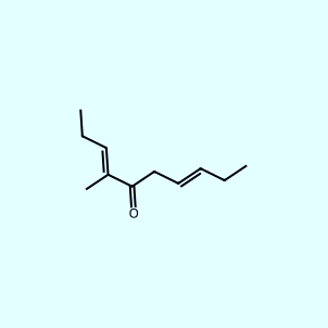 CCC=CCC(=O)C(C)=CCC